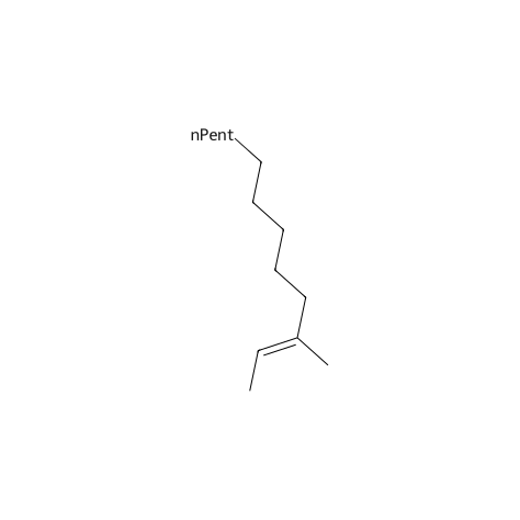 CC=C(C)CCCCCCCCCC